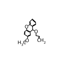 C=CCOC1c2ccccc2Oc2ccc(OC)cc21